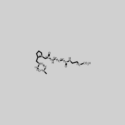 C[15N]1[13CH2][13CH2]N(CC2CCC[15N]2C[13C](=O)[15NH][13CH2][13CH2][13CH2][13C](=O)NCC[13CH2][13C](=O)O)[13CH2][13CH2]1